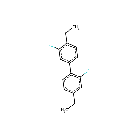 CCc1ccc(-c2ccc(CC)c(F)c2)c(F)c1